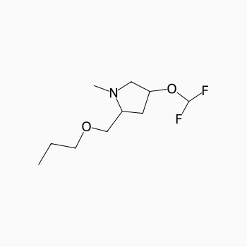 CCCOCC1CC(OC(F)F)CN1C